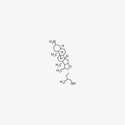 C[C@H](CO)CC[C@H]1OC2C[C@H]3[C@@H]4CC[C@@H]5C[C@H](N)CC[C@]5(C)[C@H]4CC[C@]3(C)C2[C@@H]1C